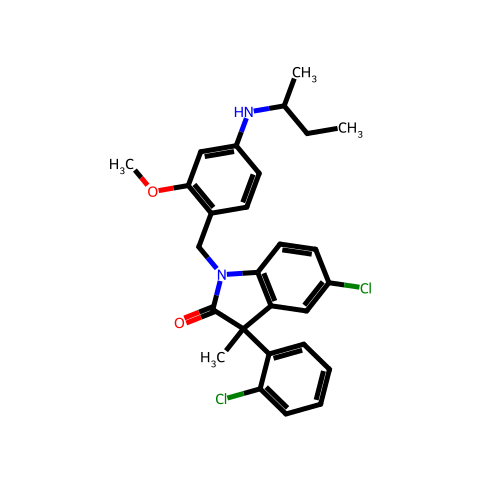 CCC(C)Nc1ccc(CN2C(=O)C(C)(c3ccccc3Cl)c3cc(Cl)ccc32)c(OC)c1